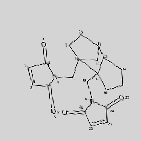 O=C1C=CC(=O)N1CC12CCC(C1)C1CCCC12CN1C(=O)C=CC1=O